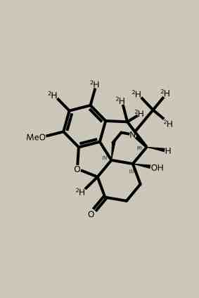 [2H]c1c([2H])c2c3c(c1OC)OC1([2H])C(=O)CC[C@@]4(O)[C@H](N(C([2H])([2H])[2H])CC[C@]314)C2([2H])[2H]